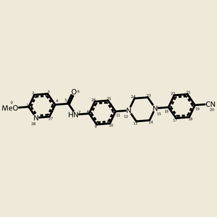 COc1ccc(C(=O)Nc2ccc(N3CCN(c4ccc(C#N)cc4)CC3)cc2)cn1